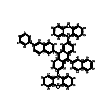 c1ccc(-c2ccc3cc(-c4c5ccc(N6c7ccccc7Oc7ccccc76)cc5c(-c5ccc6ccccc6c5)c5ccc(N6c7ccccc7Oc7ccccc76)cc45)ccc3c2)cc1